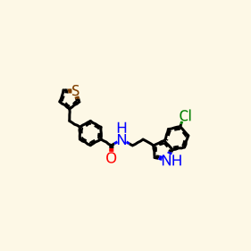 O=C(NCCc1c[nH]c2ccc(Cl)cc12)c1ccc(Cc2ccsc2)cc1